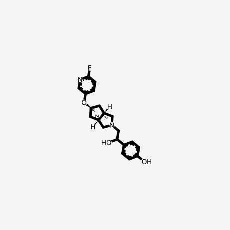 Oc1ccc(C(O)CN2C[C@H]3C[C@@H](Oc4ccc(F)nc4)C[C@H]3C2)cc1